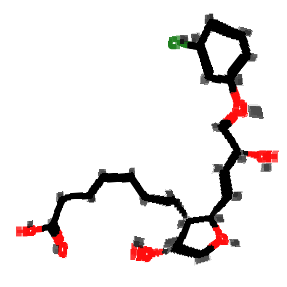 O=C(O)CC/C=C\CC[C@H]1[C@@H](O)CO[C@@H]1/C=C/[C@@H](O)COc1cccc(Cl)c1